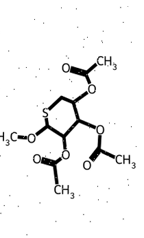 COC1SCC(OC(C)=O)C(OC(C)=O)C1OC(C)=O